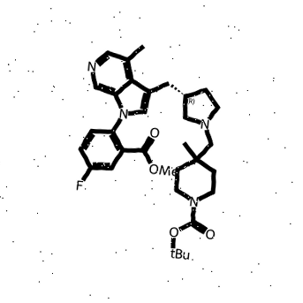 COC(=O)c1cc(F)ccc1-n1cc(C[C@@H]2CCN(CC3(C)CCN(C(=O)OC(C)(C)C)CC3)C2)c2c(C)cncc21